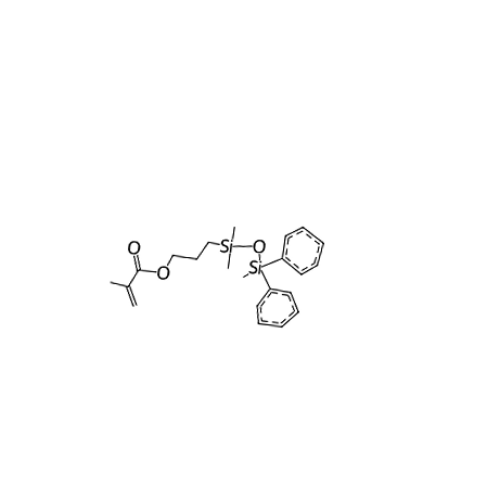 C=C(C)C(=O)OCCC[Si](C)(C)O[Si](C)(c1ccccc1)c1ccccc1